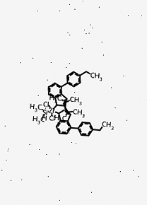 CCc1ccc(-c2cccc3c2C=C(C(C)C)[CH]3[Zr]([Cl])([Cl])([CH]2C(C(C)C)=Cc3c(-c4ccc(CC)cc4)cccc32)[SiH](C)C)cc1